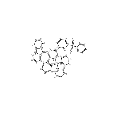 O=S(=O)(c1ccccc1)c1cccc(-c2cc(-n3c4ccccc4c4ccccc43)cc([Si](c3ccccc3)(c3ccccc3)c3ccccc3)c2)n1